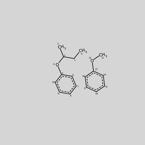 CCC(C)Oc1ccccc1.COc1ccccc1